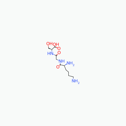 NCCCC[C@H](N)C(=O)NCC(=O)N[C@@H](CO)C(=O)O